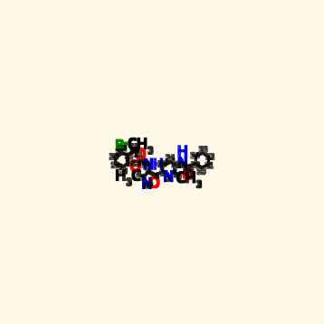 Cc1nc(-c2onc(C)c2NC(=O)O[C@@H](C)c2ccccc2Br)ccc1NC(=O)C1CCCCC1